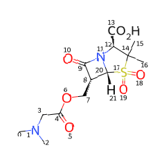 CN(C)CC(=O)OC[C@H]1C(=O)N2[C@@H](C(=O)O)C(C)(C)S(=O)(=O)[C@H]12